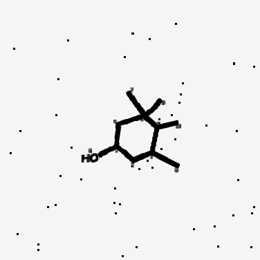 CC1CC(O)CC(C)(C)C1C